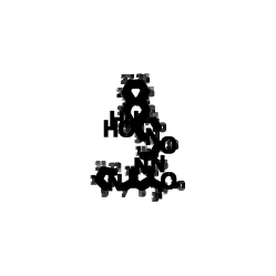 CO[C@H](C)c1cc(CN2CCCC2)cn2cc(C(=O)N3CC[C@]4(Cc5ccccc5CN4)[C@H](O)C3)nc12